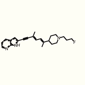 C/C(C#Cc1cc2cccnc2[nH]1)=C\C=C(/C)C1CCN(CCCF)CC1